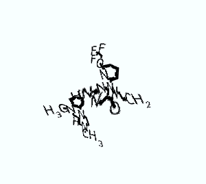 C=CCn1c(=O)c2cnc(Nc3ccc4c(c3)N3CCN(C)C[C@H]3CN4C)nc2n1-c1cccc(OCC(F)(F)F)n1